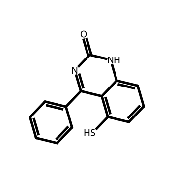 O=c1nc(-c2ccccc2)c2c(S)cccc2[nH]1